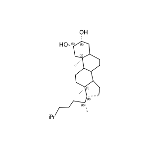 CC(C)CCC[C@@H](C)[C@H]1CCC2C3CCC4C[C@@H](O)[C@@H](O)C[C@]4(C)C3CC[C@@]21C